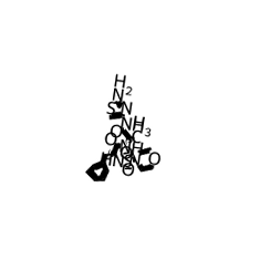 C[C@H](NC(=O)[C@H](Cc1ccccc1)NS(=O)(=O)N1CCOCC1)C(=O)Nc1csc(N)n1